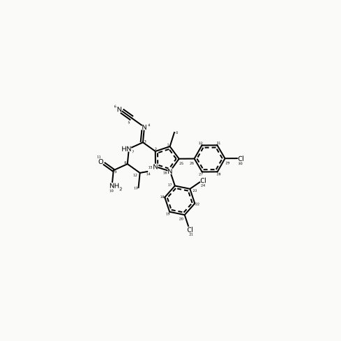 Cc1c(C(=NC#N)NC(C(N)=O)C(C)C)nn(-c2ccc(Cl)cc2Cl)c1-c1ccc(Cl)cc1